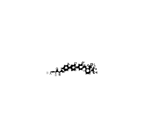 CCNC(=O)Nc1nc2cc(-c3ccn(-c4ccn(CC5CCCN(C(=O)O)C5C(C)(C)C)c(=O)c4)c(=O)c3)c(F)cc2s1